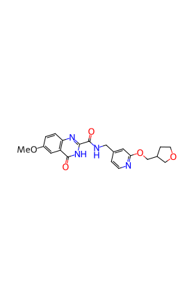 COc1ccc2nc(C(=O)NCc3ccnc(OCC4CCOC4)c3)[nH]c(=O)c2c1